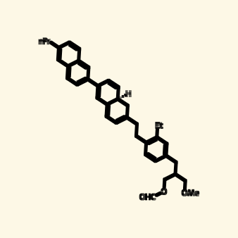 CCCc1ccc2cc(C3=CC4=CC=C(CCc5ccc(CC(COC)COC=O)cc5CC)C[C@@H]4C=C3)ccc2c1